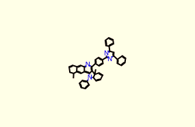 CC1CC=Cc2cc3nc(-c4ccc(-c5nc(-c6ccccc6)cc(-c6ccccc6)n5)cc4)c4c(c3cc21)N(c1ccccc1)C1C=CC=CC41C